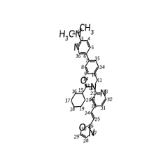 CN(C)c1ccc(-c2ccc(CN(C(=O)C3CCCCC3)c3cc(/C=C/c4ncco4)ccn3)cc2)cn1